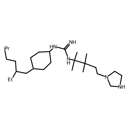 CCC(CCC(C)C)CC1CCC(NC(=N)NC(C)(C)C(C)(C)CCN2CCNC2)CC1